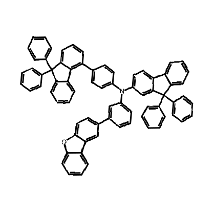 c1ccc(C2(c3ccccc3)c3ccccc3-c3ccc(N(c4ccc(-c5cccc6c5-c5ccccc5C6(c5ccccc5)c5ccccc5)cc4)c4cccc(-c5ccc6oc7ccccc7c6c5)c4)cc32)cc1